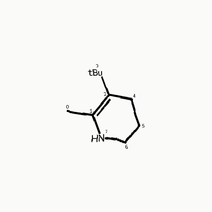 CC1=C(C(C)(C)C)CCCN1